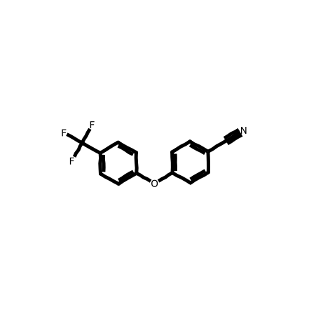 N#Cc1ccc(Oc2ccc(C(F)(F)F)cc2)cc1